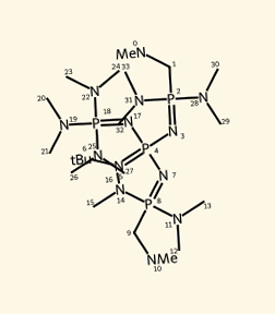 CNCP(=NP(=NC(C)(C)C)(N=P(CNC)(N(C)C)N(C)C)N=P(N(C)C)(N(C)C)N(C)C)(N(C)C)N(C)C